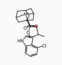 COC(=O)C12CC3CC(C1)N(C(=O)CC(C)c1c[nH]c4cccc(Cl)c14)C(C3)C2